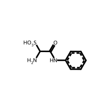 NC(C(=O)Nc1ccccc1)S(=O)(=O)O